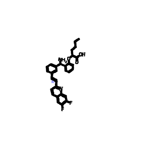 CCCCC(Oc1ccccc1C(N)c1cccc(/C=C/c2ccc3cc(F)c(F)cc3n2)c1)C(=O)O